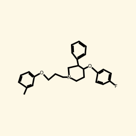 Cc1cccc(OCCCN2CCC(Oc3ccc(F)cc3)C(c3ccccc3)C2)c1